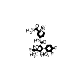 C[C@@H]1[C@@H](c2ccc(F)c(F)c2O)[C@@H](C(=O)Nc2cc[n+]([O-])c(C(N)=O)c2)O[C@]1(C)C(F)(F)F